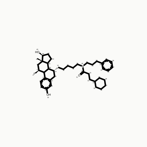 C[C@]12C[C@H](F)C3c4ccc(O)cc4C[C@@H](CCCCCN(CCCc4ccccc4)C(=O)CCC4CCCCC4)C3C1CC[C@@H]2O